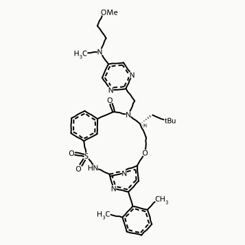 COCCN(C)c1cnc(CN2C(=O)c3cccc(c3)S(=O)(=O)Nc3nc(cc(-c4c(C)cccc4C)n3)OC[C@H]2CC(C)(C)C)nc1